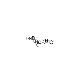 O=C(OCC1CCN(Cc2ccccc2)CC1)N1CCC(F)(CNC2CC2)CC1